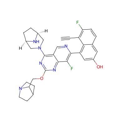 C#Cc1c(F)ccc2cc(O)cc(-c3ncc4c(N5C[C@H]6CC[C@@H](C5)N6)nc(OCC5C6CCN5CC6)nc4c3F)c12